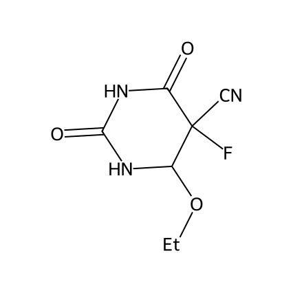 CCOC1NC(=O)NC(=O)C1(F)C#N